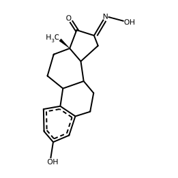 C[C@]12CCC3c4ccc(O)cc4CCC3C1C/C(=N\O)C2=O